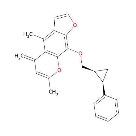 C=C1C=C(C)Oc2c1c(C)c1ccoc1c2OC[C@H]1C[C@H]1c1ccccc1